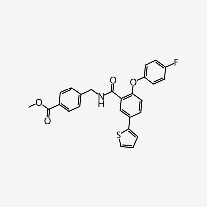 COC(=O)c1ccc(CNC(=O)c2cc(-c3cccs3)ccc2Oc2ccc(F)cc2)cc1